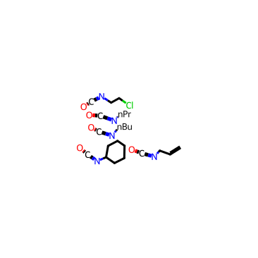 C=CCN=C=O.CCCCN=C=O.CCCN=C=O.O=C=NC1CCCCC1.O=C=NCCCl